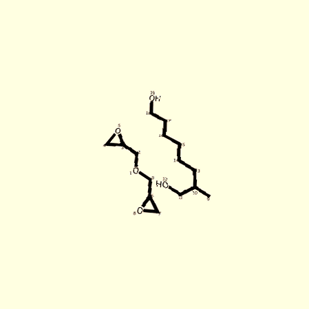 C(OCC1CO1)C1CO1.CC(CO)CCCCCCO